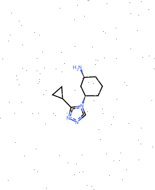 N[C@H]1CCC[C@@H](n2cnnc2C2CC2)C1